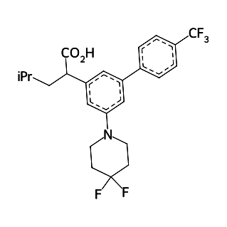 CC(C)CC(C(=O)O)c1cc(-c2ccc(C(F)(F)F)cc2)cc(N2CCC(F)(F)CC2)c1